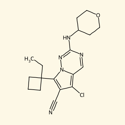 CCC1(c2c(C#N)c(Cl)c3cnc(NC4CCOCC4)nn23)CCC1